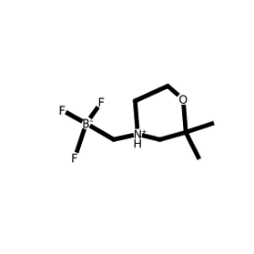 CC1(C)C[NH+](C[B-](F)(F)F)CCO1